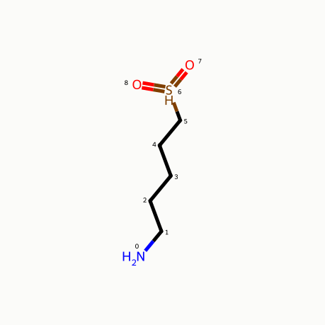 NCCCCC[SH](=O)=O